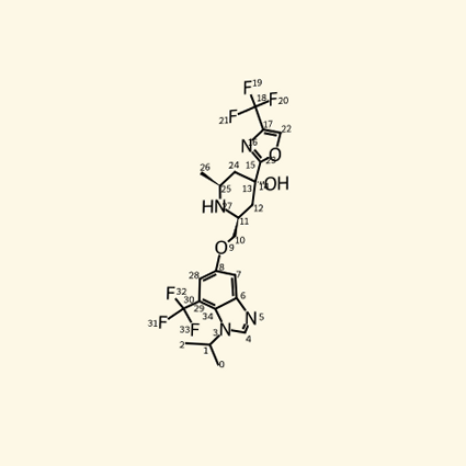 CC(C)n1cnc2cc(OC[C@@H]3C[C@](O)(c4nc(C(F)(F)F)co4)C[C@H](C)N3)cc(C(F)(F)F)c21